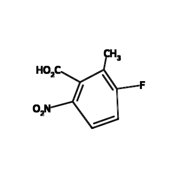 Cc1c(F)ccc([N+](=O)[O-])c1C(=O)O